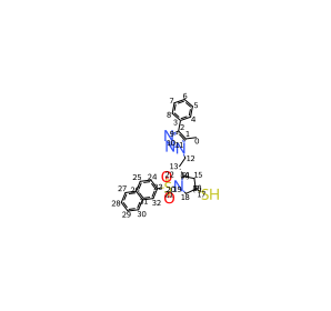 Cc1c(-c2ccccc2)nnn1CC[C@@H]1C[C@@H](S)CN1S(=O)(=O)c1ccc2ccccc2c1